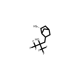 OC(CC1CC2CC1[C@H](S)C2)(C(F)(F)F)C(F)(F)F